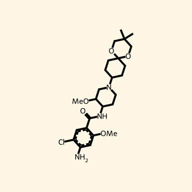 COc1cc(N)c(Cl)cc1C(=O)NC1CCN(C2CCC3(CC2)OCC(C)(C)CO3)CC1OC